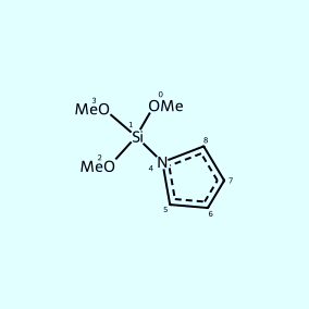 CO[Si](OC)(OC)n1cccc1